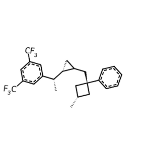 C[C@H](c1cc(C(F)(F)F)cc(C(F)(F)F)c1)[C@@H]1CC1C[C@]1(c2ccccc2)C[C@@H](C)C1